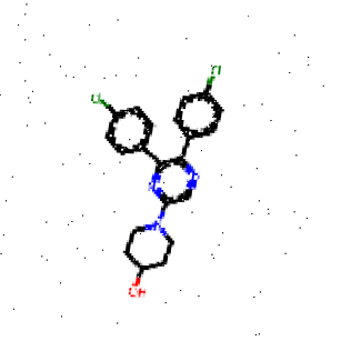 OC1CCN(c2cnc(-c3ccc(Cl)cc3)c(-c3ccc(Cl)cc3)n2)CC1